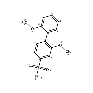 NS(=O)(=O)c1ccc(-c2ccccc2OC(F)(F)F)c(OC(F)(F)F)c1